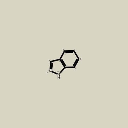 [c]1cccc2c1C=[N+]N2